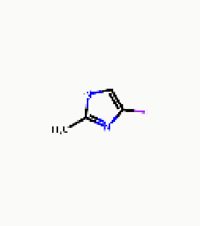 CC1=NC(I)=C[N]1